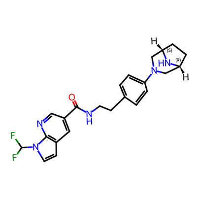 O=C(NCCc1ccc(N2C[C@H]3CC[C@@H](C2)N3)cc1)c1cnc2c(ccn2C(F)F)c1